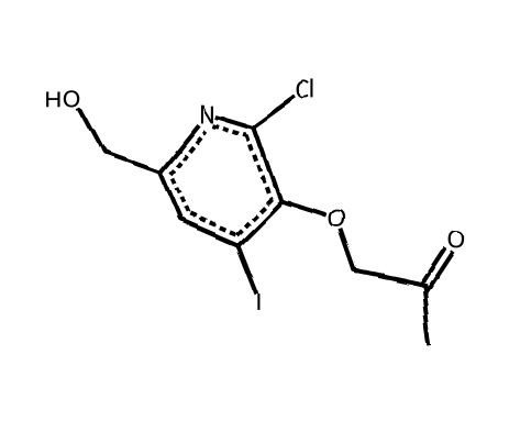 CC(=O)COc1c(I)cc(CO)nc1Cl